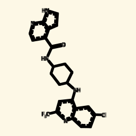 O=C(NC1CCC(Nc2cc(C(F)(F)F)nc3ccc(Cl)cc23)CC1)c1ccnc2[nH]ccc12